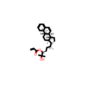 C=CC(=O)O[C@@H](CC[C@@H](C)[C@H]1CC[C@H]2[C@@H]3C=CC4=CC=CC[C@]4(C)[C@H]3CC[C@]12C)C(C)(C)O